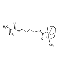 C=C(C)C(=O)OCCCCOC(=O)C12CC3CC(CC(C)(C3)C1)C2